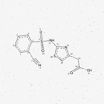 N#Cc1ccccc1S(=O)(=O)Nc1nc(CC(=O)O)cs1